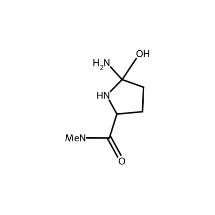 CNC(=O)C1CCC(N)(O)N1